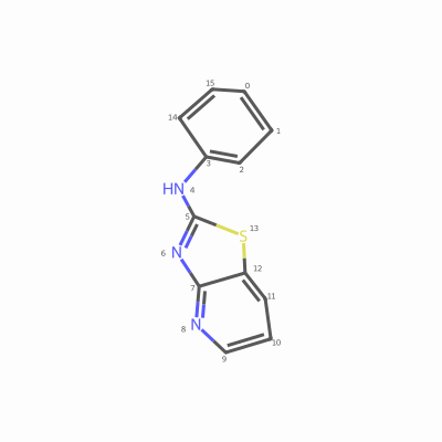 c1ccc(Nc2nc3ncccc3s2)cc1